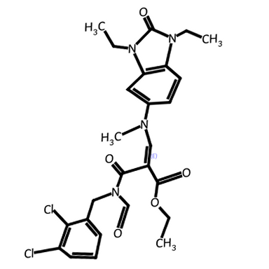 CCOC(=O)/C(=C/N(C)c1ccc2c(c1)n(CC)c(=O)n2CC)C(=O)N(C=O)Cc1cccc(Cl)c1Cl